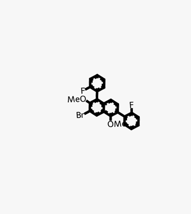 COc1c(Br)cc2c(OC)c(-c3ccccc3F)ccc2c1-c1ccccc1F